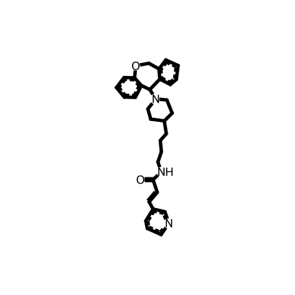 O=C(C=Cc1cccnc1)NCCCCC1CCN(C2c3ccccc3COc3ccccc32)CC1